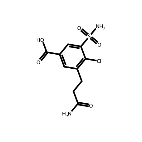 NC(=O)CCc1cc(C(=O)O)cc(S(N)(=O)=O)c1Cl